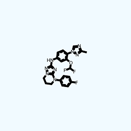 Cc1ncn(-c2ccc(Nc3nc4n(n3)CCCN4c3ccc(F)cc3)cc2OC(F)F)n1